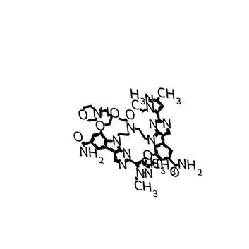 CCn1nc(C)cc1-c1ncc2c3cc(C(N)=O)cc(OC)c3n(CCN(CCn3c4nc(-c5cc(C)nn5CC)ncc4c4cc(C(N)=O)cc(OCCCN5CCOCC5)c43)C(=O)CO)c2n1